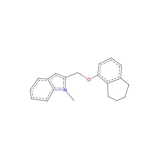 Cn1c(COc2cccc3c2CCCC3)cc2ccccc21